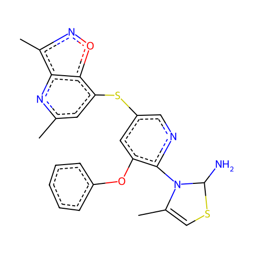 CC1=CSC(N)N1c1ncc(Sc2cc(C)nc3c(C)noc23)cc1Oc1ccccc1